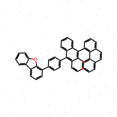 c1ccc2c(c1)ccc1cccc(-c3c4ccccc4c(-c4ccc(-c5cccc6c5oc5ccccc56)cc4)c4ccccc34)c12